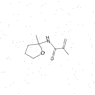 C=C(C)C(=O)NC1(C)CCCO1